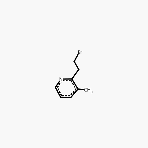 Cc1cccnc1CCBr